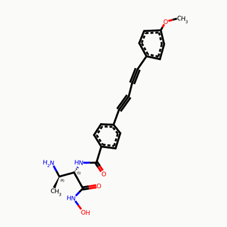 COc1ccc(C#CC#Cc2ccc(C(=O)N[C@H](C(=O)NO)[C@@H](C)N)cc2)cc1